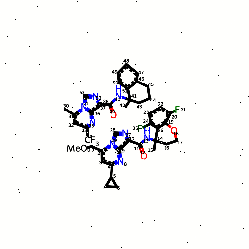 COCc1cc(C2CC2)nc2c(C(=O)NC3(C)CCOc4c(F)ccc(F)c43)ncn12.Cc1cc(C(F)(F)F)nc2c(C(=O)NC3(C)CCCc4ccccc43)ncn12